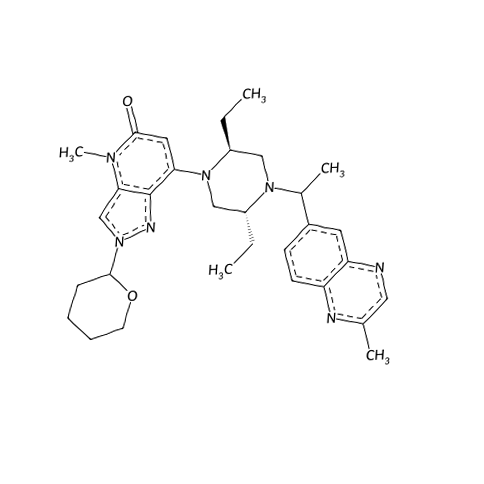 CC[C@H]1CN(C(C)c2ccc3nc(C)cnc3c2)[C@H](CC)CN1c1cc(=O)n(C)c2cn(C3CCCCO3)nc12